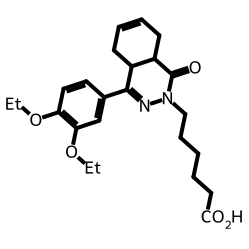 CCOc1ccc(C2=NN(CCCCCC(=O)O)C(=O)C3CC=CCC23)cc1OCC